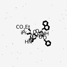 CCOC(=O)CC[C@@H](CC(C)C)NC(=O)[C@H](Cc1c[nH]cn1)NC(=O)[C@H](Cc1cccc2ccccc12)NC(=O)OCc1ccccc1